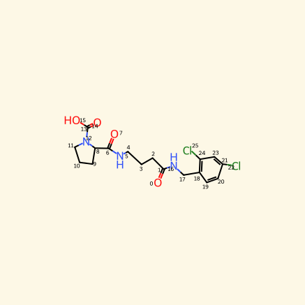 O=C(CCCNC(=O)C1CCCN1C(=O)O)NCc1ccc(Cl)cc1Cl